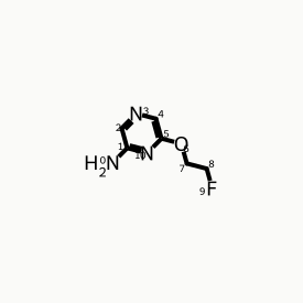 Nc1cncc(OCCF)n1